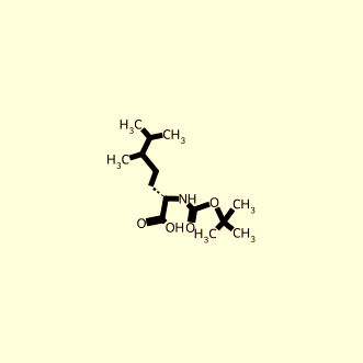 CC(C)C(C)CC[C@H](NC(=O)OC(C)(C)C)C(=O)O